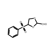 O=CC1OCC(S(=O)(=O)c2ccccc2)O1